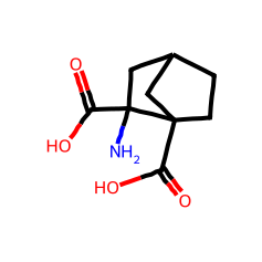 NC1(C(=O)O)CC2CCC1(C(=O)O)C2